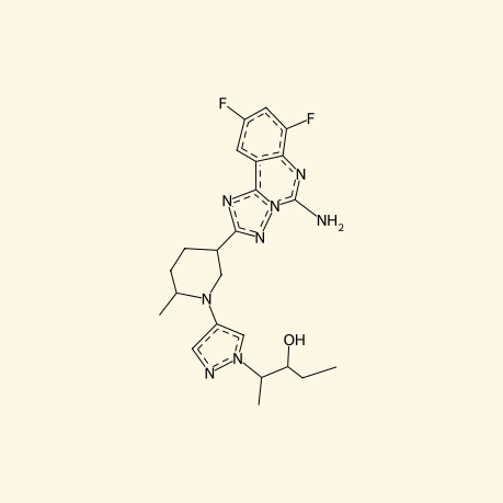 CCC(O)C(C)n1cc(N2CC(c3nc4c5cc(F)cc(F)c5nc(N)n4n3)CCC2C)cn1